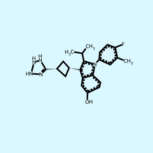 Cc1cc(-n2c(C(C)C)c([C@H]3C[C@@H](C4=NNNN4)C3)c3cc(O)ccc32)ccc1F